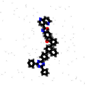 c1ccc(-c2nc(-c3ccccc3)nc(-c3ccc(-c4ccc(-c5cccc6c5oc5cc7nc(-c8ccnc9cccnc89)oc7cc56)c5ccccc45)cc3)n2)cc1